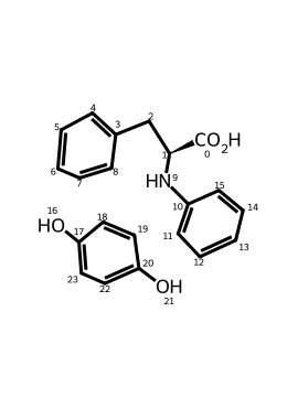 O=C(O)[C@H](Cc1ccccc1)Nc1ccccc1.Oc1ccc(O)cc1